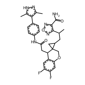 Cc1n[nH]c(C)c1-c1ccc(NC(=O)CC2c3cc(F)c(F)cc3OCC23CC3CC(C)c2nonc2C(N)=O)cc1